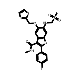 CNC(=O)c1c(-c2ccc(F)cc2)oc2cc(NCS(C)(=O)=O)c(OCc3nccs3)cc12